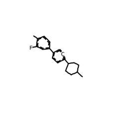 Cc1ccc(-c2ccc(C3CCC(C)CC3)cc2)cc1F